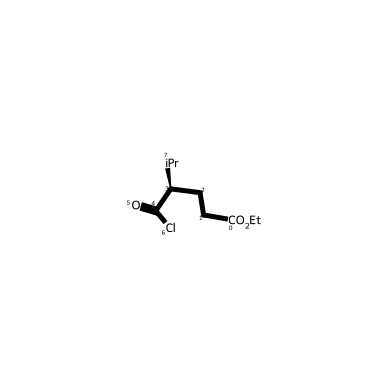 CCOC(=O)CC[C@@H](C(=O)Cl)C(C)C